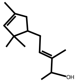 CC1=CC(C)(C)C(C/C=C(\C)C(C)O)C1